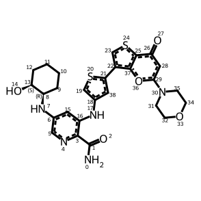 NC(=O)c1ncc(N[C@@H]2CCCC[C@@H]2O)cc1Nc1csc(-c2csc3c(=O)cc(N4CCOCC4)oc23)c1